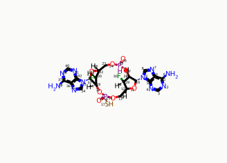 Nc1ncnc2c1ncn2[C@@H]1O[C@@H]2CO[P@@](=O)(S)O[C@@H]3[C@H](F)[C@@H](CO[PH](=O)O[C@@H]1[C@@H]2F)O[C@H]3n1cnc2c(N)ncnc21